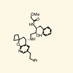 COCC(=O)N[C@@H](Cc1ccccc1)[C@@H](O)CN[C@H]1CC2(CCC2)Oc2ncc(CCC(C)C)cc21